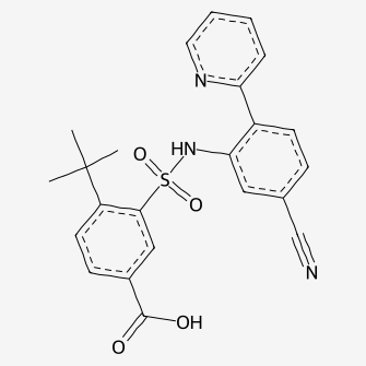 CC(C)(C)c1ccc(C(=O)O)cc1S(=O)(=O)Nc1cc(C#N)ccc1-c1ccccn1